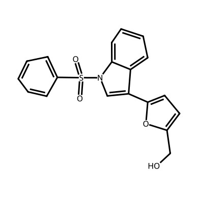 O=S(=O)(c1ccccc1)n1cc(-c2ccc(CO)o2)c2ccccc21